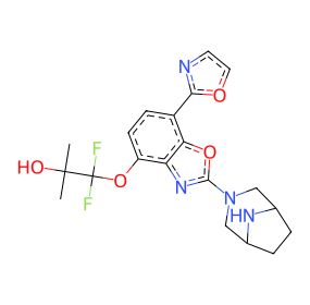 CC(C)(O)C(F)(F)Oc1ccc(-c2ncco2)c2oc(N3CC4CCC(C3)N4)nc12